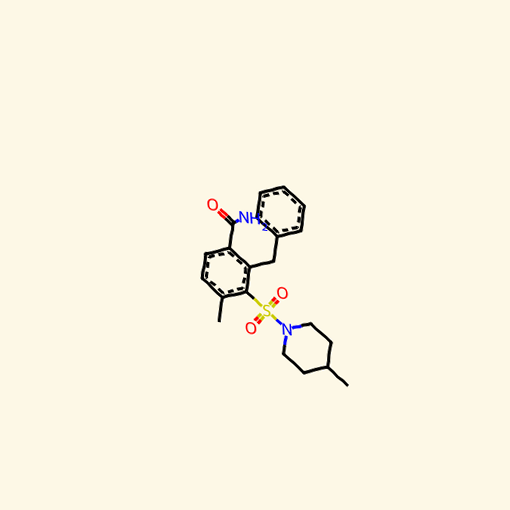 Cc1ccc(C(N)=O)c(Cc2ccccc2)c1S(=O)(=O)N1CCC(C)CC1